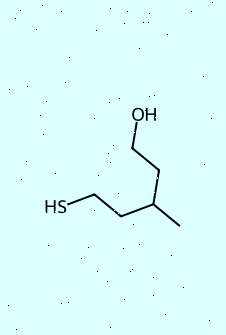 CC(CCO)CCS